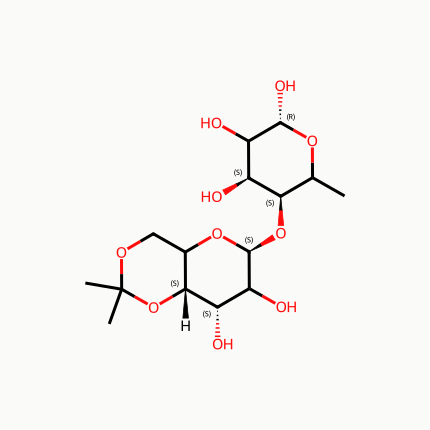 CC1O[C@@H](O)C(O)[C@H](O)[C@@H]1O[C@@H]1OC2COC(C)(C)O[C@H]2[C@@H](O)C1O